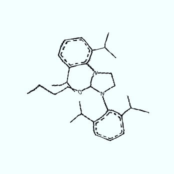 CCCCOC1N(c2c(C(C)C)cccc2C(C)C)CCN1c1c(C(C)C)cccc1C(C)C